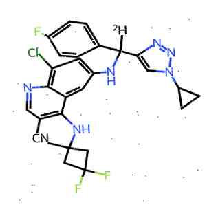 [2H]C(Nc1cc(Cl)c2ncc(C#N)c(NC3(C)CC(F)(F)C3)c2c1)(c1ccc(F)cc1)c1cn(C2CC2)nn1